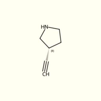 C#C[C@H]1CCNC1